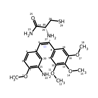 COc1ccc(/C=C\c2cc(OC)c(OC)c(OC)c2)cc1N.NC(=O)[C@@H](N)CS